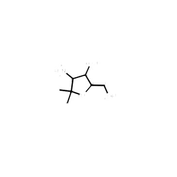 CC1(C)OC(CO)C(O)C1N